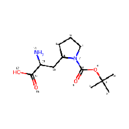 CC(C)(C)OC(=O)N1CCCC1CC(N)C(=O)O